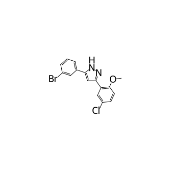 COc1ccc(Cl)cc1-c1cc(-c2cccc(Br)c2)[nH]n1